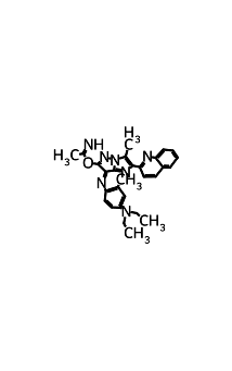 CCN(CC)c1ccc(/N=C2/C(OC(C)=N)=Nn3c2nc(-c2ccc4ccccc4n2)c3C)c(C)c1